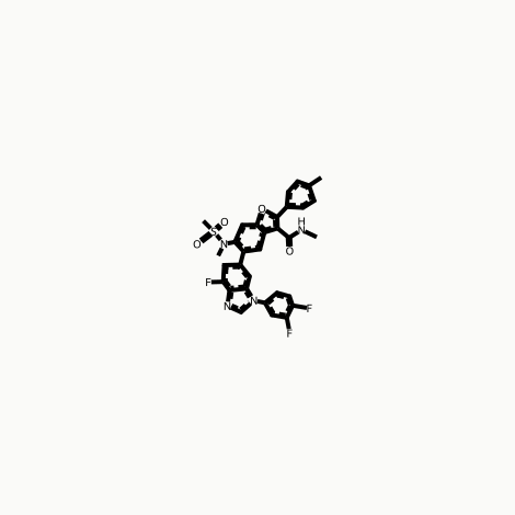 CNC(=O)c1c(-c2ccc(C)cc2)oc2cc(N(C)S(C)(=O)=O)c(-c3cc(F)c4ncn(-c5ccc(F)c(F)c5)c4c3)cc12